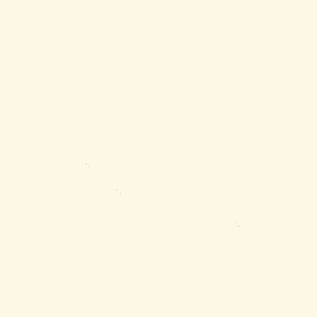 CCNc1cc(OCC(=O)N2CCN(Cc3ccc(Cl)cc3)CC2)ccc1C